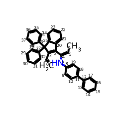 C=CC1=C(/C(=C\C)Nc2ccc(-c3ccccc3)cc2)c2ccccc2C1(c1ccccc1)c1ccccc1